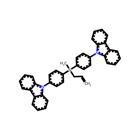 C=CC[Si](C)(c1ccc(-n2c3ccccc3c3ccccc32)cc1)c1ccc(-n2c3ccccc3c3ccccc32)cc1